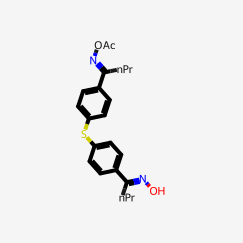 CCCC(=NO)c1ccc(Sc2ccc(C(CCC)=NOC(C)=O)cc2)cc1